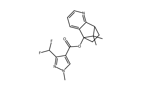 Cn1cc(C(=O)OC23CCC(c4ncccc42)C3(C)C)c(C(F)F)n1